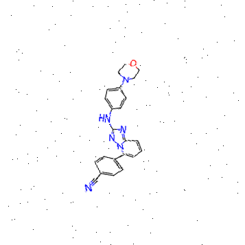 N#Cc1ccc(-c2cccc3nc(Nc4ccc(N5CCOCC5)cc4)nn23)cc1